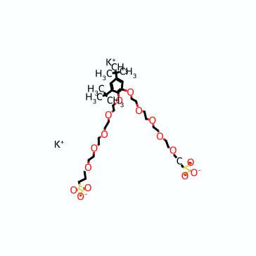 CC(C)(C)c1cc(OCCOCCOCCOCCOCCCS(=O)(=O)[O-])c(OCCOCCOCCOCCOCCCS(=O)(=O)[O-])c(C(C)(C)C)c1.[K+].[K+]